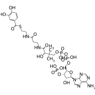 CC(C)(COP(=O)(O)OP(=O)(O)OC[C@H]1O[C@@H](n2cnc3c(N)ncnc32)[C@H](O)[C@@H]1OP(=O)(O)O)[C@@H](O)C(=O)NCCC(=O)NCCSC(=O)c1ccc(O)c(O)c1